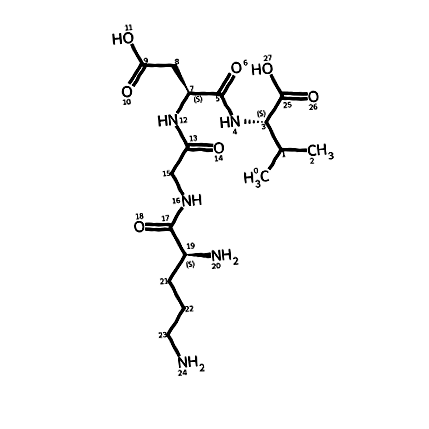 CC(C)[C@H](NC(=O)[C@H](CC(=O)O)NC(=O)CNC(=O)[C@@H](N)CCCN)C(=O)O